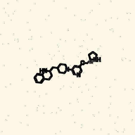 c1ccc2c(c1)CCC(CC1CCN(c3cncc(OC[C@@H]4CCCN4)c3)CC1)N2